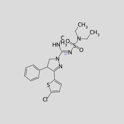 CCN(CC)S(=O)(=O)/N=C(\NC)N1CC(c2ccccc2)C(c2ccc(Cl)s2)=N1